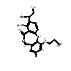 COc1c(C(O)CC(C)(C)C)ccc2c1C(=O)OCc1cc(C)cc(OCCC(C)C)c1O2